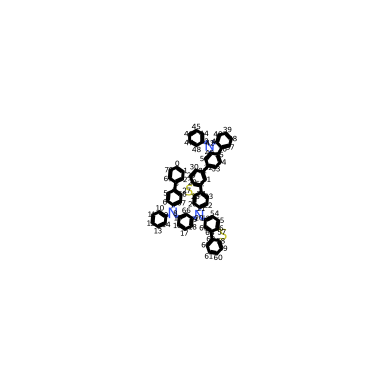 c1ccc(-c2ccc(N(c3ccccc3)c3cccc(N(c4ccc5c(c4)sc4ccc(-c6ccc7c8ccccc8n(-c8ccccc8)c7c6)cc45)c4ccc5sc6ccccc6c5c4)c3)cc2)cc1